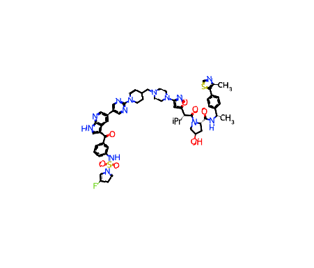 Cc1ncsc1-c1ccc([C@H](C)NC(=O)[C@@H]2C[C@@H](O)CN2C(=O)[C@@H](c2cc(N3CCN(CC4CCN(c5ncc(-c6cnc7[nH]cc(C(=O)c8cccc(NS(=O)(=O)N9CC[C@@H](F)C9)c8)c7c6)cn5)CC4)CC3)no2)C(C)C)cc1